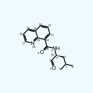 CC(C)C[C@@H]([C]=O)NC(=O)c1cccc2cccnc12